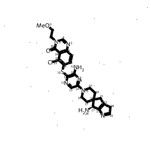 COCCn1cnc2ccc(Sc3ncc(N4CCC5(CC4)CC4=C(N=CC4)[C@H]5N)nc3N)c(Cl)c2c1=O